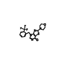 O=c1ncn(Cc2ccccc2C(F)(F)F)c2nc(N3CCOCC3)sc12